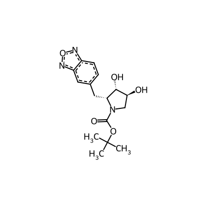 CC(C)(C)OC(=O)N1C[C@H](O)[C@@H](O)[C@H]1Cc1ccc2nonc2c1